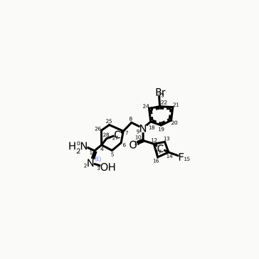 N/C(=N/O)C12CCC(CN(C(=O)C34CC(F)(C3)C4)c3cccc(Br)c3)(CC1)CC2